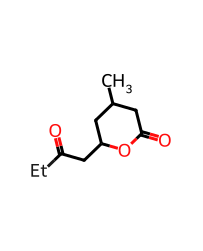 CCC(=O)CC1CC(C)CC(=O)O1